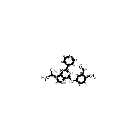 Cc1ccc(Oc2nc(-c3ccncc3)nc3c2ncn3C(C)C)cc1C=O